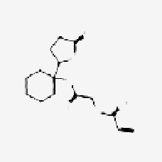 C=CC(=O)OCC(=O)OC1(C2CCC(=O)O2)CCCCC1